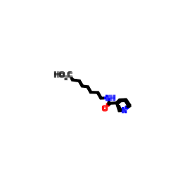 O=C(O)CCCCCCCNC(=O)c1cccnc1